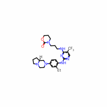 CCc1cc(N2CCN3CCC[C@@H]3C2)ccc1Nc1ncc(C(F)(F)F)c(NCCCN2CCCOC2=O)n1